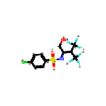 O=S(=O)(NC(CO)C(C(F)(F)F)C(F)(F)F)c1ccc(Cl)cc1